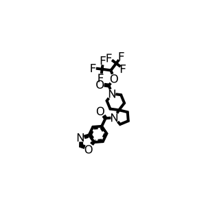 O=C(OC(C(F)(F)F)C(F)(F)F)N1CCC2(CCCN2C(=O)c2ccc3ocnc3c2)CC1